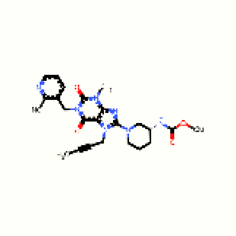 CC#CCn1c(N2CCC[C@@H](NC(=O)OC(C)(C)C)C2)nc2c1c(=O)n(Cc1cccnc1C#N)c(=O)n2C